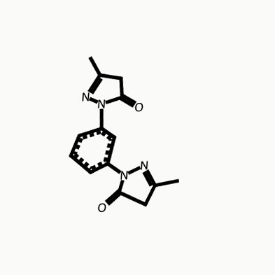 CC1=NN(c2cccc(N3N=C(C)CC3=O)c2)C(=O)C1